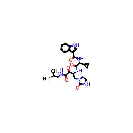 CC(C)CNC(=O)C(=O)C(CN1CCNC1=O)NC(=O)[C@@H](NC(=O)c1c[nH]c2ccccc12)C1CC1